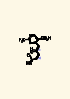 CC(/C=C\C(=N)Cl)=C\c1cc(C(F)(F)F)ncc1C(=O)O